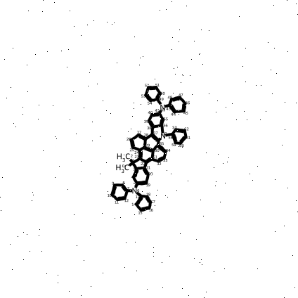 CC1(C)c2cc(N(c3ccccc3)c3ccccc3)ccc2-c2c1c1cccc3c1c1c2cccc1c1c3c2ccc(N(c3ccccc3)c3ccccc3)cc2n1-c1ccccc1